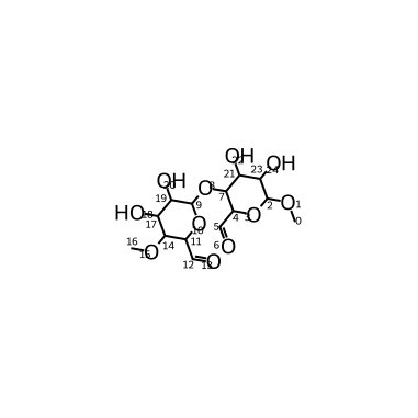 COC1OC(C=O)C(OC2OC(C=O)C(OC)C(O)C2O)C(O)C1O